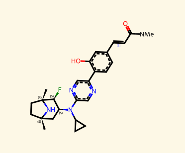 CNC(=O)/C=C/c1ccc(-c2cnc(N(C3CC3)[C@H]3C[C@]4(C)CC[C@@](C)(N4)[C@H]3F)cn2)c(O)c1